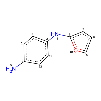 Nc1ccc(Nc2ccco2)cc1